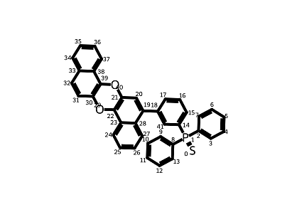 S=P(c1ccccc1)(c1ccccc1)c1cccc(-c2cc3c(c4ccccc24)Oc2ccc4ccccc4c2O3)c1